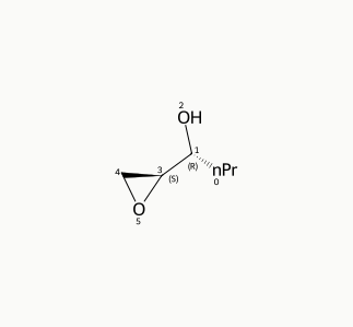 CCC[C@@H](O)[C@@H]1CO1